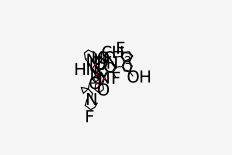 C#Cc1c(F)ccc2cc(O)cc(-c3nc(OC)c4c(N5CC6CCC(C5)N6C(=O)Nc5ccc6c(c5)CCO6)nc(OCC5(CN6CCC(F)CC6)CC5)nc4c3F)c12